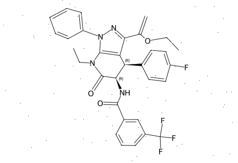 C=C(OCC)c1nn(-c2ccccc2)c2c1[C@@H](c1ccc(F)cc1)[C@@H](NC(=O)c1cccc(C(F)(F)F)c1)C(=O)N2CC